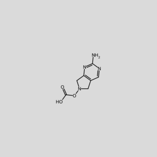 Nc1ncc2c(n1)CN(OC(=O)O)C2